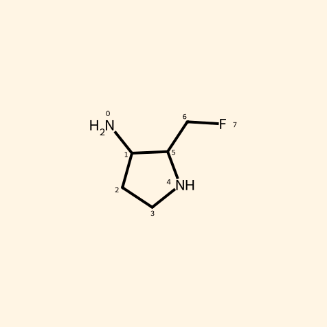 NC1CCNC1CF